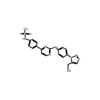 CS(=O)(=O)Nc1ccc(-c2ccnc(Nc3ccc(-n4nncc4CO)cc3)n2)cc1